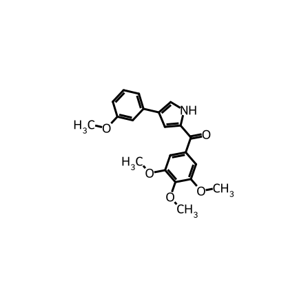 COc1cccc(-c2c[nH]c(C(=O)c3cc(OC)c(OC)c(OC)c3)c2)c1